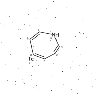 C1=CC=CNC=C1.[Tc]